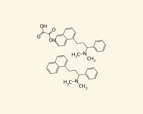 CN(C)C(CCc1cccc2ccccc12)c1ccccc1.CN(C)C(CCc1cccc2ccccc12)c1ccccc1.O=C(O)C(=O)O